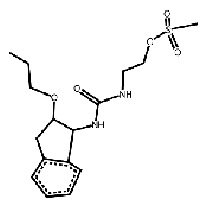 CCCOC1Cc2ccccc2C1NC(=O)NCCOS(C)(=O)=O